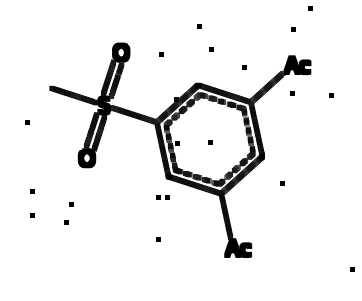 CC(=O)c1cc(C(C)=O)cc(S(C)(=O)=O)c1